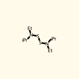 CCN(SSN(CC)C(C)C)C(C)C